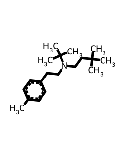 Cc1ccc(CCN(CCC(C)(C)C)C(C)(C)C)cc1